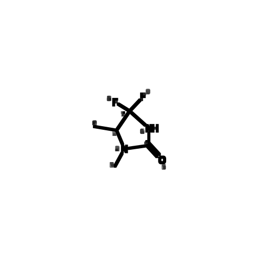 CC1N(C)C(=O)NC1(F)F